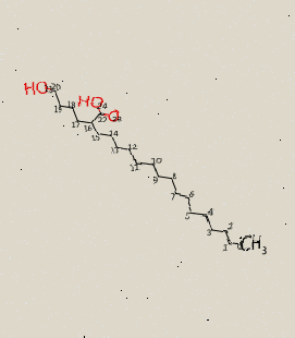 CCCCCCCCCCCCCCCCC(CCCCO)C(=O)O